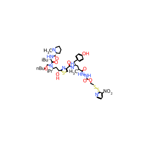 CCCCOCN(C(=O)[C@@H](NC(=O)[C@H]1CCCCN1C)[C@@H](C)CC)[C@H](C[C@@H](O)c1nc(C(=O)N[C@@H](Cc2ccc(O)cc2)C[C@H](C)C(=O)NNC(=O)OCCSSc2ncccc2[N+](=O)[O-])cs1)C(C)C